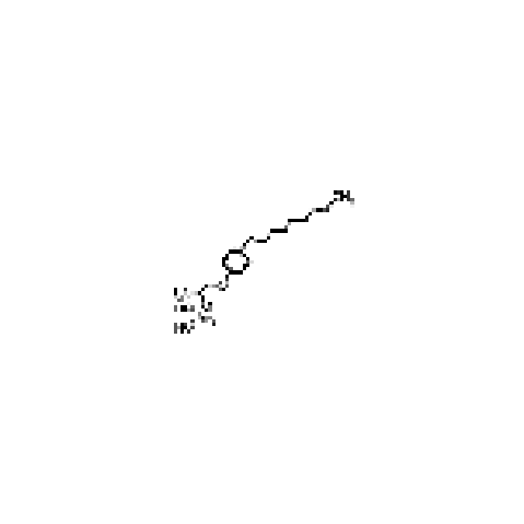 CCCCCCCCCc1ccc(OCC(C)OP(=O)(O)O)cc1